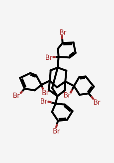 BrC1=CC=CC(Br)(C23CC4(C5(Br)C=CC=C(Br)C5)CC(C5(Br)C=CC=C(Br)C5)(C2)CC(C2(Br)C=CC=C(Br)C2)(C3)C4)C1